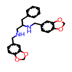 c1ccc(CC(CNCc2ccc3c(c2)OCO3)NCc2ccc3c(c2)OCO3)cc1